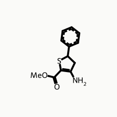 COC(=O)C1=C(N)CC(c2ccccc2)S1